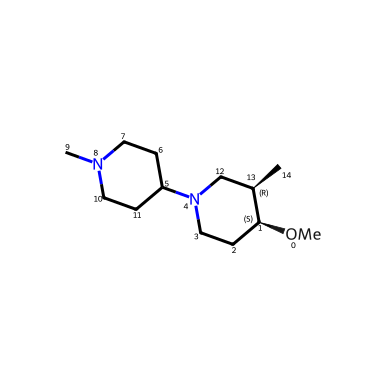 CO[C@H]1CCN(C2CCN(C)CC2)C[C@H]1C